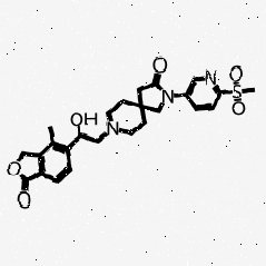 Cc1c([C@@H](O)CN2CCC3(CC2)CC(=O)N(c2ccc(S(C)(=O)=O)nc2)C3)ccc2c1COC2=O